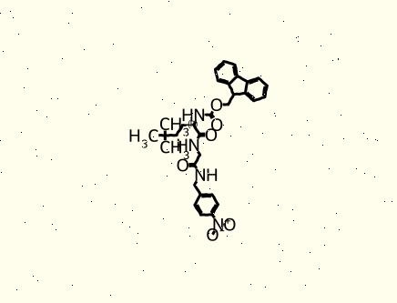 CC(C)(C)CC[C@@H](NC(=O)OCC1c2ccccc2-c2ccccc21)C(=O)NCC(=O)NCc1ccc([N+](=O)[O-])cc1